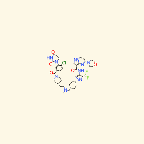 CN(CCC1CCN(C(=O)c2ccc(Cl)c(N3CCC(=O)NC3=O)c2)CC1)CC1CCC(n2cc(NC(=O)c3cnn4ccc(N5CCOCC5)nc34)c(C(F)F)n2)CC1